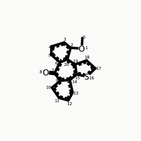 COc1cccc2c(=O)c3ccccc3c3sccc3c12